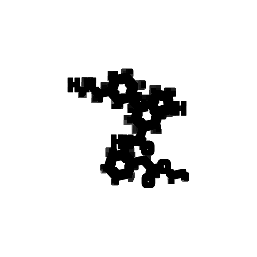 CCOC(=O)Cc1ccccc1NC(=O)c1cc(-c2cccc(CN)c2)c2cc[nH]c2c1